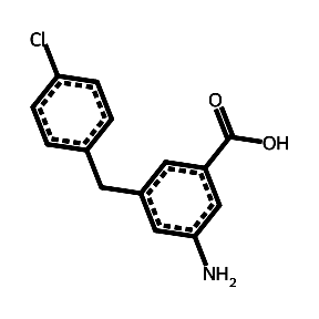 Nc1cc(Cc2ccc(Cl)cc2)cc(C(=O)O)c1